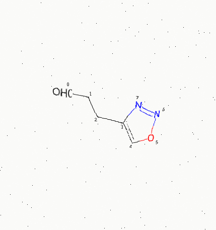 O=CCCc1conn1